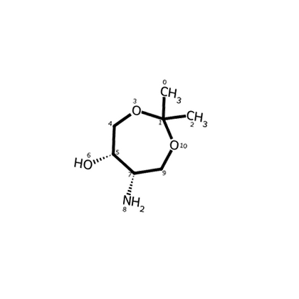 CC1(C)OC[C@@H](O)[C@@H](N)CO1